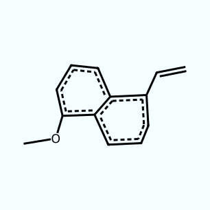 C=Cc1cccc2c(OC)cccc12